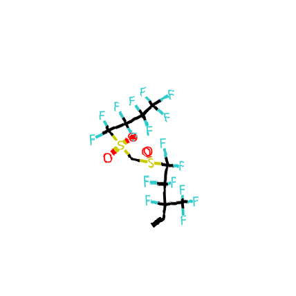 C=CC(F)(C(F)(F)F)C(F)(F)C(F)(F)S(=O)(=O)CS(=O)(=O)C(F)(F)C(F)(F)C(F)(F)C(F)(F)F